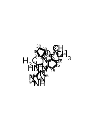 CC(Nc1ncnc2[nH]cnc12)c1nc2ccc(F)c(C(=O)N(C)C)c2n1-c1ccccc1